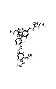 CCC(O)CCc1ccc(-c2cccc(OCc3ccc(CO)c(CO)c3)c2)c(C(C)(C)C)c1